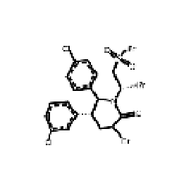 CCC1C[C@H](c2cccc(Cl)c2)C(c2ccc(Cl)cc2)N([C@H](CS(=O)(=O)C(C)C)C(C)C)C1=O